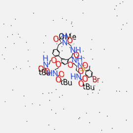 COC(=O)[C@@H]1Cc2ccc(OCCNC(=O)OC(C)(C)C)c(c2)-c2cc(ccc2OCCNC(=O)OC(C)(C)C)[C@H](N(C)C(=O)[C@H](CCNC(=O)OC(C)(C)C)NS(=O)(=O)c2ccc(Br)cc2C)C(=O)N[C@@H](C)C(=O)N1